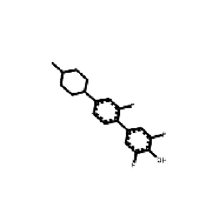 CC1CCC(c2ccc(-c3cc(F)c(O)c(F)c3)c(F)c2)CC1